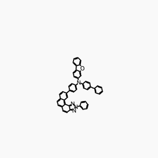 c1ccc(-c2ccc(N(c3ccc(-c4ccc5ccc6ccc7nn(-c8ccccc8)nc7c6c5c4)cc3)c3ccc4c(c3)oc3ccccc34)cc2)cc1